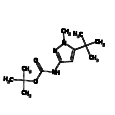 Cn1nc(NC(=O)OC(C)(C)C)cc1C(C)(C)C